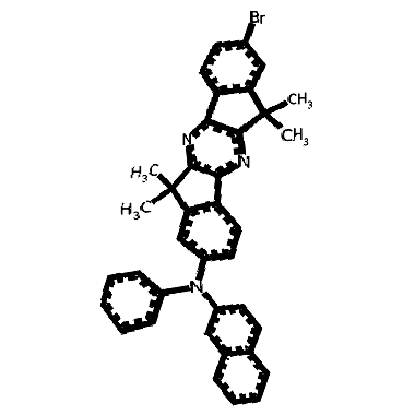 CC1(C)c2cc(Br)ccc2-c2nc3c(nc21)-c1ccc(N(c2ccccc2)c2ccc4ccccc4c2)cc1C3(C)C